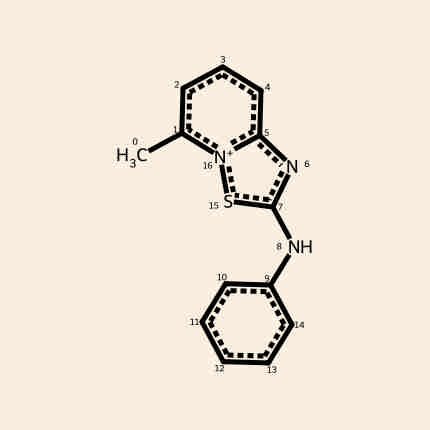 Cc1cccc2nc(Nc3ccccc3)s[n+]12